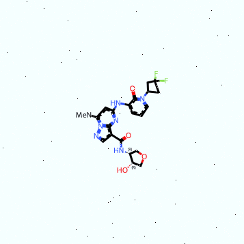 CNc1cc(Nc2cccn(C3CC(F)(F)C3)c2=O)nc2c(C(=O)N[C@@H]3COC[C@@H]3O)cnn12